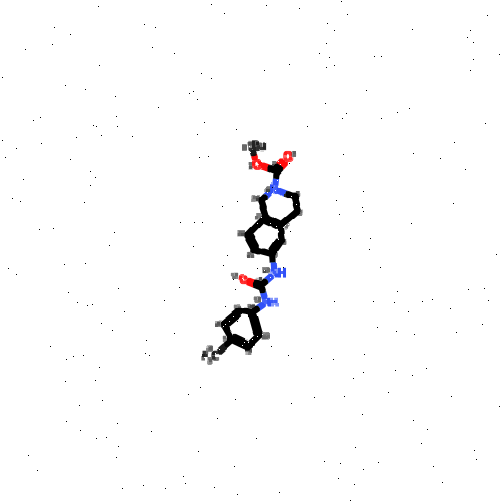 CC(C)(C)OC(=O)N1CCc2cc(NC(=O)Nc3ccc(C(F)(F)F)cc3)ccc2C1